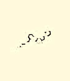 CONC(=O)CNC(=O)C1=CC(O)C(O)[C@@H](OC(C(N)=O)[C@H]2O[C@@H](n3ccc(=O)[nH]c3=O)C(O)C2O)O1